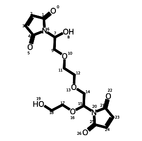 O=C1C=CC(=O)N1C(O)COCCOCC(OCCO)N1C(=O)C=CC1=O